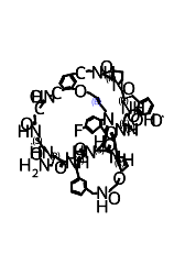 COc1ccc(C[C@H]2NC(=O)[C@H]([C@H](C)O)NC(=O)[C@H]3C4CCN3C(=O)[C@@H]3Cc5cn(c6ccc(F)cc56)C/C=C/COc5cc(ccc5CNC(=O)CCC(=O)N[C@@H](C)C(=O)N[C@H](CN)C(=O)N[C@@H](Cc5cccc(c5)CNC(=O)CO4)C(=O)N3)CCNC(=O)[C@@]3(C)CCCN3C2=O)cc1